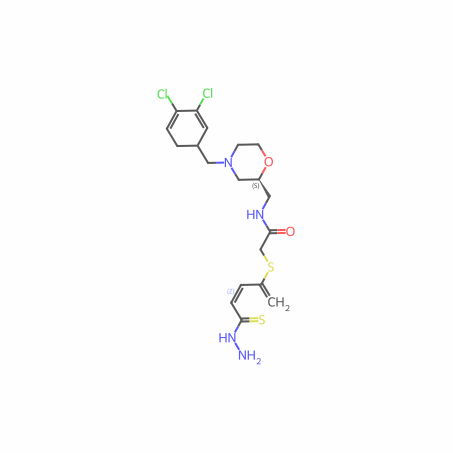 C=C(/C=C\C(=S)NN)SCC(=O)NC[C@H]1CN(CC2C=C(Cl)C(Cl)=CC2)CCO1